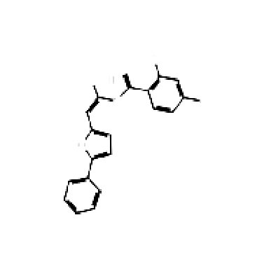 O=C(O)C(=Cc1ccc(-c2ccccc2)o1)NC(=O)c1ccc(F)cc1F